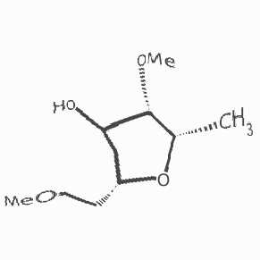 COC[C@H]1O[C@@H](C)[C@@H](OC)C1O